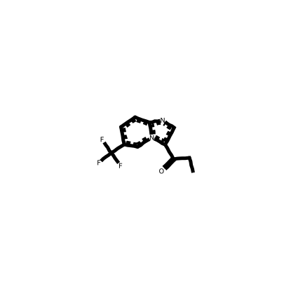 CCC(=O)c1cnc2ccc(C(F)(F)F)cn12